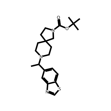 CC(c1ccc2scnc2c1)N1CCC2(CCN(C(=O)OC(C)(C)C)C2)CC1